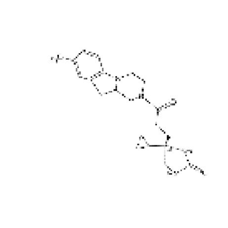 O=C1NC[C@](CCC(=O)N2CCN3c4ccc(C(F)(F)F)cc4CC3C2)(C2CC2)N1